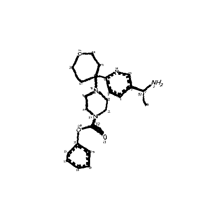 C[C@H](N)c1ccc(C2(N3CCN(C(=O)Oc4ccccc4)CC3)CCOCC2)nc1